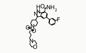 NC(=O)c1cc(-c2cccc(F)c2)cc2c(C3CCN(S(=O)(=O)CCCN4CCOCC4)CC3)n[nH]c12